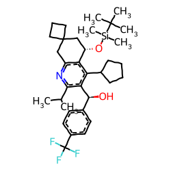 CC(C)c1nc2c(c(C3CCCC3)c1[C@@H](O)c1ccc(C(F)(F)F)cc1)[C@@H](O[Si](C)(C)C(C)(C)C)CC1(CCC1)C2